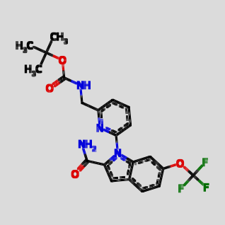 CC(C)(C)OC(=O)NCc1cccc(-n2c(C(N)=O)cc3ccc(OC(F)(F)F)cc32)n1